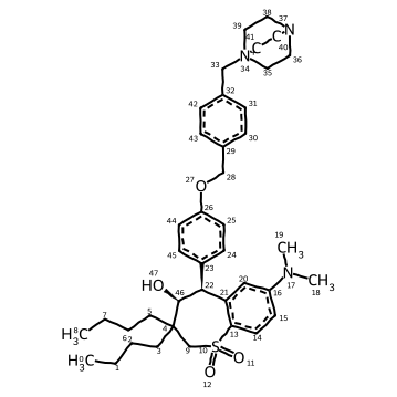 CCCCC1(CCCC)CS(=O)(=O)c2ccc(N(C)C)cc2[C@H](c2ccc(OCc3ccc(C[N+]45CCN(CC4)CC5)cc3)cc2)[C@@H]1O